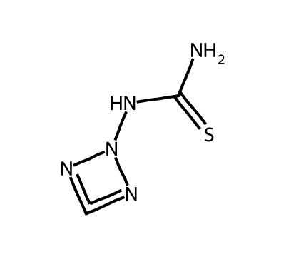 NC(=S)NN1N=C=N1